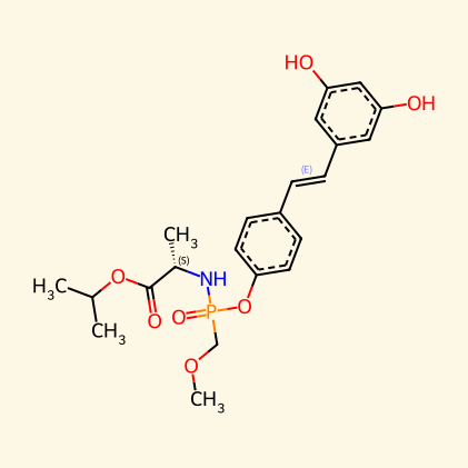 COCP(=O)(N[C@@H](C)C(=O)OC(C)C)Oc1ccc(/C=C/c2cc(O)cc(O)c2)cc1